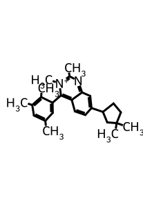 Cc1cc(C)c(C)c(-c2c3ccc(C4CCC(C)(C)C4)cc3nc(C)[n+]2C)c1